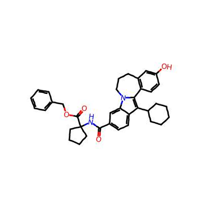 O=C(NC1(C(=O)OCc2ccccc2)CCCC1)c1ccc2c(C3CCCCC3)c3n(c2c1)CCCc1cc(O)ccc1-3